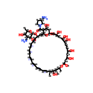 C[C@@H]1OC(=O)CC(O)CC(O)CCC(O)C(O)CC(O)CC2(O)C[C@H](O)C(C(=O)N3CC[C@H](N)C3)[C@H](CC(O[C@@H]3O[C@H](C)C(O)[C@H](N)[C@@H]3O)/C=C/C=C/C=C/C=C/C=C/C=C/C=C/[C@H](C)C(O)[C@H]1C)O2